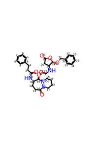 O=C(CCc1ccccc1)N[C@H]1CCC(=O)N2CCC[C@@H](C(=O)NC3CC(=O)OC3OCc3ccccc3)N2C1=O